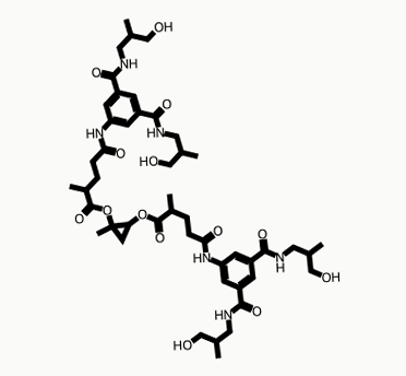 CC(CO)CNC(=O)c1cc(NC(=O)CCC(C)C(=O)OC2CC2(C)OC(=O)C(C)CCC(=O)Nc2cc(C(=O)NCC(C)CO)cc(C(=O)NCC(C)CO)c2)cc(C(=O)NCC(C)CO)c1